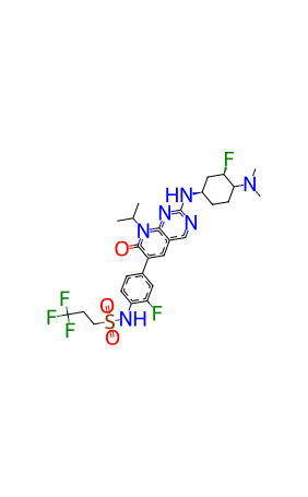 CC(C)n1c(=O)c(-c2ccc(NS(=O)(=O)CCC(F)(F)F)c(F)c2)cc2cnc(N[C@@H]3CCC(N(C)C)[C@H](F)C3)nc21